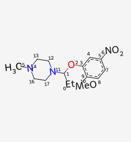 CCC(Oc1cc([N+](=O)[O-])ccc1OC)N1CCN(C)CC1